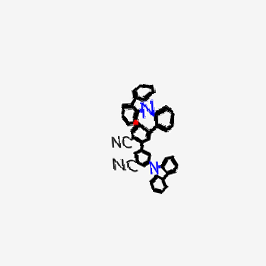 N#Cc1cc(-c2cc(-c3ccccc3-n3c4ccccc4c4ccccc43)ccc2C#N)cc(-n2c3ccccc3c3ccccc32)c1